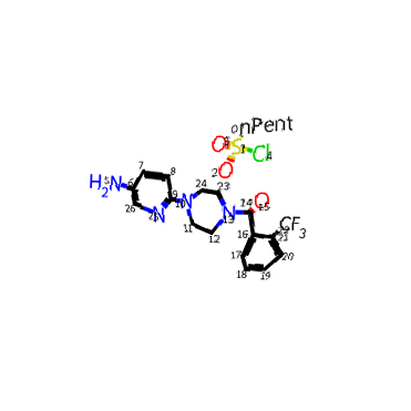 CCCCCS(=O)(=O)Cl.Nc1ccc(N2CCN(C(=O)c3ccccc3C(F)(F)F)CC2)nc1